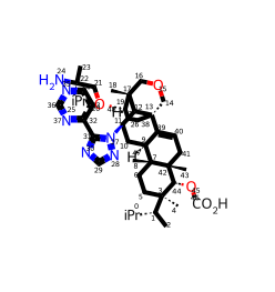 CC(C)[C@@H](C)[C@@]1(C)CC[C@]2(C)[C@H]3CC[C@@H]4[C@@]5(COC[C@@]4(C)[C@@H](OC[C@](C)(N)C(C)C)[C@H](n4ncnc4-c4ccncn4)C5)C3=CC[C@]2(C)[C@@H]1OC(=O)O